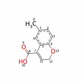 Cc1ccc2c(c1)C(C(=O)O)=CCO2